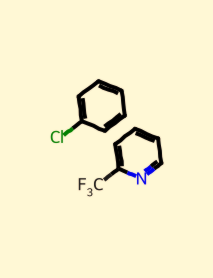 Clc1ccccc1.FC(F)(F)c1ccccn1